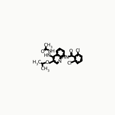 CC(=O)NNc1c(COC(C)C)cnc2c(NC(=O)c3c(Cl)cccc3Cl)cccc12